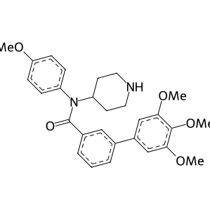 COc1ccc(N(C(=O)c2cccc(-c3cc(OC)c(OC)c(OC)c3)c2)C2CCNCC2)cc1